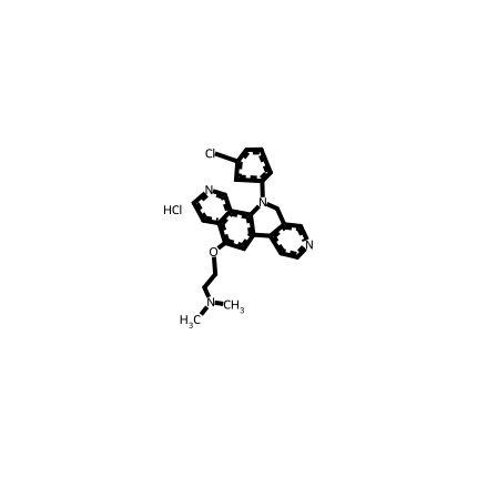 CN(C)CCOc1cc2c(c3cnccc13)N(c1cccc(Cl)c1)Cc1cnccc1-2.Cl